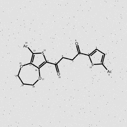 CC(=O)c1ccc(C(=O)CCC(=O)c2sc(C(C)=O)c3c2OCCCO3)s1